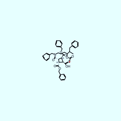 CC(=O)OC(CCCN(Cc1ccccc1)C(=O)[C@H]1[C@@H](C(=O)OCc2ccccc2)[C@H](C(=O)O)[C@@H]1C(=O)OCc1ccccc1)C(C)Cc1ccccc1